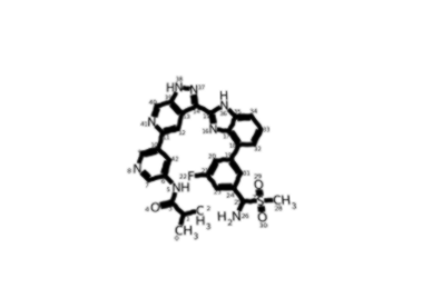 CC(C)C(=O)Nc1cncc(-c2cc3c(-c4nc5c(-c6cc(F)cc(C(N)S(C)(=O)=O)c6)cccc5[nH]4)n[nH]c3cn2)c1